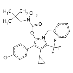 CN(CC(C)(C)C)C(=O)Oc1c(-c2ccc(Cl)cc2)c(C2CC2)c(C(F)(F)F)n1Cc1ccccc1